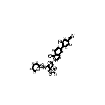 CC(CCn1ccc2cc(-c3ccc(C#N)cc3F)ccc2c1=O)(C(=O)NOC1CCCCO1)S(C)(=O)=O